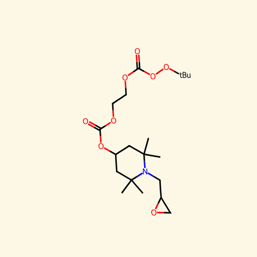 CC(C)(C)OOC(=O)OCCOC(=O)OC1CC(C)(C)N(CC2CO2)C(C)(C)C1